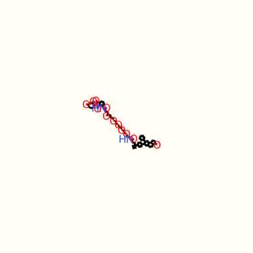 O=C(CCCOCCOCCOCCOCCNC(=O)CCC1(c2ccc(-c3cc4c(cc3-c3ccccc3)C3CCC(=O)C3C=C4)cc2)CCC1)CCC(=O)Nc1cccc2c1C(=O)N(C1CCCC(=O)CC1=O)C2=O